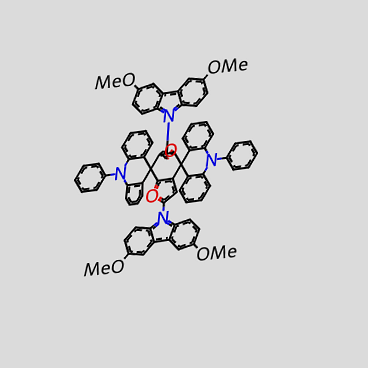 COc1ccc2c(c1)c1cc(OC)ccc1n2-c1cc2c(o1)C1(c3ccccc3N(c3ccccc3)c3ccccc31)c1cc(-n3c4ccc(OC)cc4c4cc(OC)ccc43)oc1C21c2ccccc2N(c2ccccc2)c2ccccc21